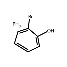 Oc1ccccc1Br.P